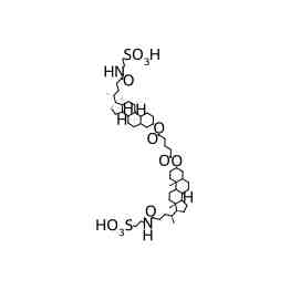 C[C@H](CCC(=O)NCCS(=O)(=O)O)[C@H]1CC[C@H]2[C@@H]3CCC4C[C@H](OC(=O)CCCC(=O)O[C@H]5CC[C@]6(C)C(CC[C@H]7C6CC[C@]6(C)C7CC[C@H]6[C@@H](C)CCC(=O)NCCS(=O)(=O)O)C5)CC[C@]4(C)[C@H]3CC[C@]12C